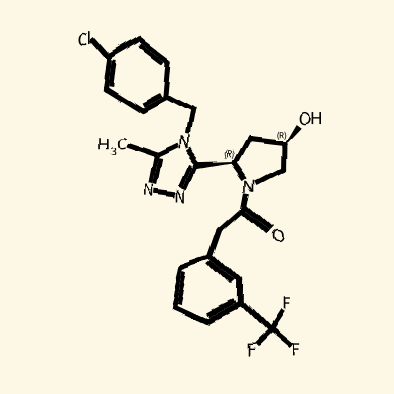 Cc1nnc([C@H]2C[C@@H](O)CN2C(=O)Cc2cccc(C(F)(F)F)c2)n1Cc1ccc(Cl)cc1